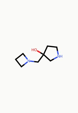 OC1(CN2CCC2)CCNC1